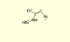 CCCCN/C(=C\C(C)=O)CC